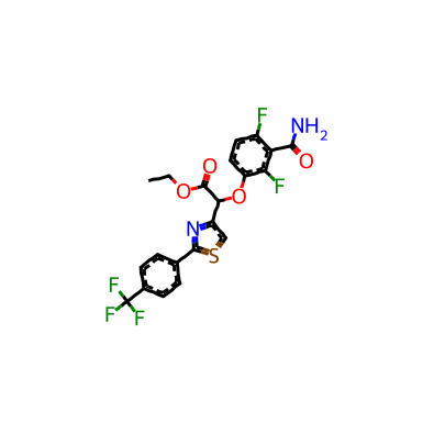 CCOC(=O)C(Oc1ccc(F)c(C(N)=O)c1F)c1csc(-c2ccc(C(F)(F)F)cc2)n1